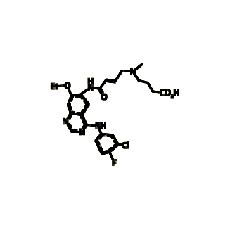 CCOc1cc2ncnc(Nc3ccc(F)c(Cl)c3)c2cc1NC(=O)/C=C/CN(C)CCCC(=O)O